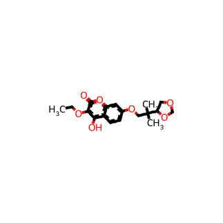 CCOc1c(O)c2ccc(OCC(C)(C)C3COCO3)cc2oc1=O